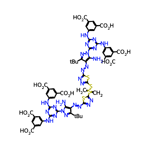 C=S(=C)(Sc1nnc(N=Nc2c(C(C)(C)C)nn(-c3nc(Nc4cc(C(=O)O)cc(C(=O)O)c4)nc(Nc4cc(C(=O)O)cc(C(=O)O)c4)n3)c2N)s1)c1nnc(N=Nc2c(C(C)(C)C)nn(-c3nc(Nc4cc(C(=O)O)cc(C(=O)O)c4)nc(Nc4cc(C(=O)O)cc(C(=O)O)c4)n3)c2N)s1